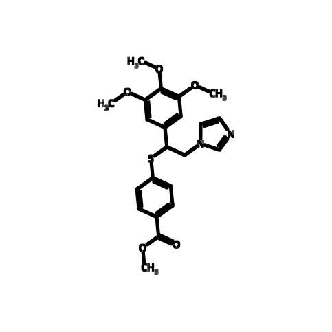 COC(=O)c1ccc(SC(Cn2ccnc2)c2cc(OC)c(OC)c(OC)c2)cc1